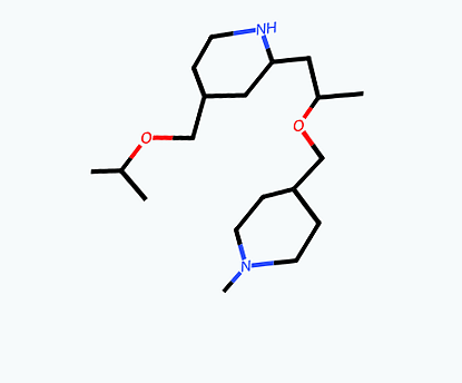 CC(C)OCC1CCNC(CC(C)OCC2CCN(C)CC2)C1